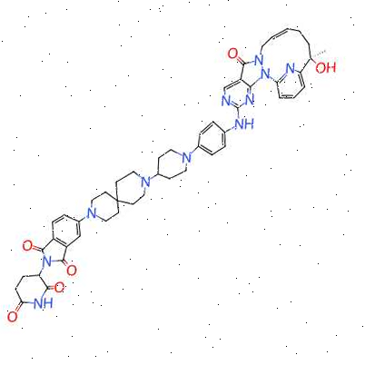 C[C@@]1(O)CC/C=C\Cn2c(=O)c3cnc(Nc4ccc(N5CCC(N6CCC7(CCN(c8ccc9c(c8)C(=O)N(C8CCC(=O)NC8=O)C9=O)CC7)CC6)CC5)cc4)nc3n2-c2cccc1n2